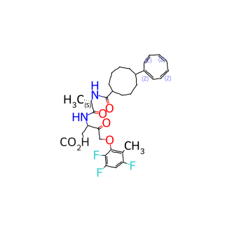 Cc1c(F)cc(F)c(F)c1OCC(=O)C(CC(=O)O)NC(=O)[C@H](C)NC(=O)C1CCCCC(C2=C/C=C\C=C/C=C\2)CCC1